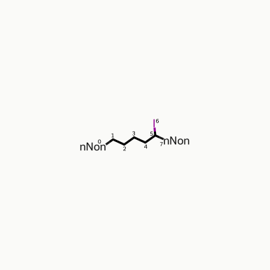 CCCCCCCCCCCCCC(I)CCCCCCCCC